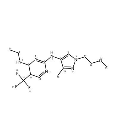 CCNC1N=C(Nc2cn(CCOC)nc2C)N=CC1C(F)(F)F